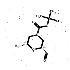 C[C@@H]1CN(C(=O)OC(C)(C)C)C[C@H](C=O)O1